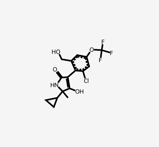 CC1(C2CC2)NC(=O)C(c2c(Cl)cc(OC(F)(F)F)cc2CO)=C1O